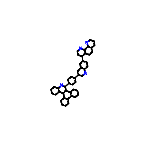 c1cnc2c(c1)ccc1c(-c3ccc4ncc(-c5ccc(-c6nc7ccccc7c7c8ccccc8c8ccccc8c67)cc5)cc4c3)ccnc12